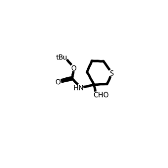 CC(C)(C)OC(=O)NC1(C=O)CCCSC1